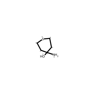 NC1(O)CCSCC1